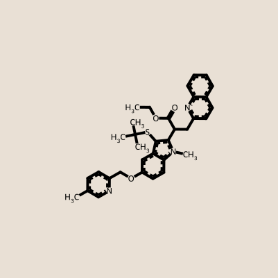 CCOC(=O)C(Cc1ccc2ccccc2n1)c1c(SC(C)(C)C)c2cc(OCc3ccc(C)cn3)ccc2n1C